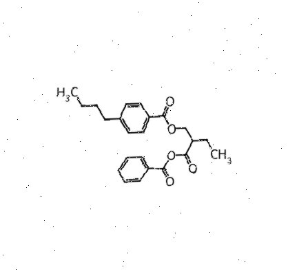 CCCCc1ccc(C(=O)OCC(CC)C(=O)OC(=O)c2ccccc2)cc1